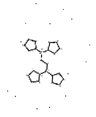 C1CCC(P(CCP(C2CCCC2)C2CCCC2)C2CCCC2)C1